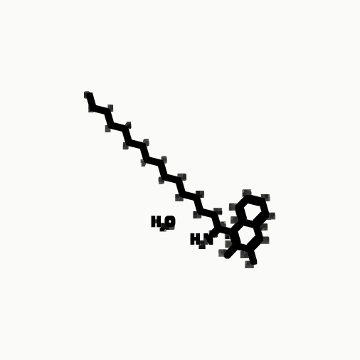 CCCCCCCCCCCCCCCC(N)c1c(C)c(C)cc2ccccc12.O